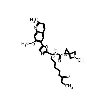 CCC(=O)CCCCC[C@H](NC(=O)[C@@H]1CC12CN(C)C2)c1ncc(-c2cc3ccc(C)nc3cc2OC)o1